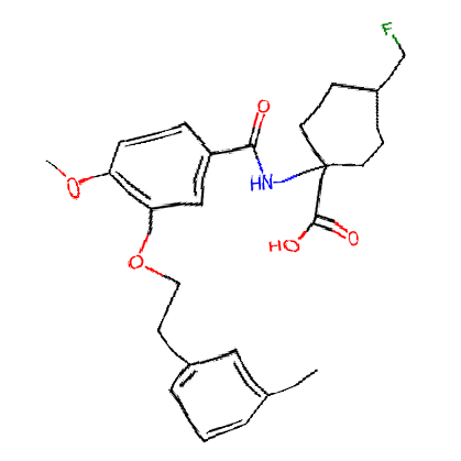 COc1ccc(C(=O)NC2(C(=O)O)CCC(CF)CC2)cc1OCCc1cccc(C)c1